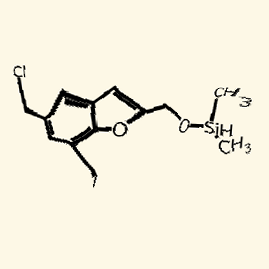 C[SiH](C)OCc1cc2cc(CCl)cc(I)c2o1